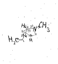 C=CN1C[C@H]2C[C@H]1CN(C)C2